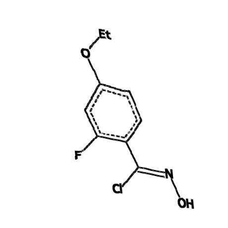 CCOc1ccc(/C(Cl)=N/O)c(F)c1